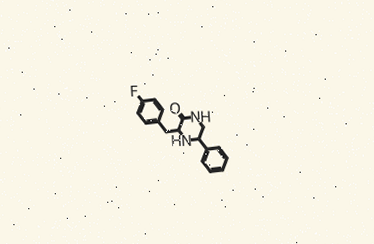 O=C1NCC(c2ccccc2)NC1Cc1ccc(F)cc1